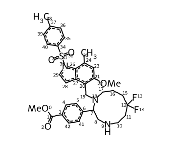 COC(=O)c1ccc(C2CNCCC(F)(F)CCCN2Cc2c(OC)cc(C)c3c2ccn3S(=O)(=O)c2ccc(C)cc2)cc1